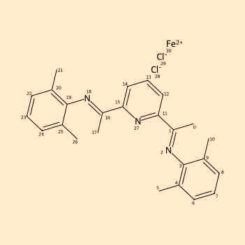 C/C(=N\c1c(C)cccc1C)c1cccc(/C(C)=N/c2c(C)cccc2C)n1.[Cl-].[Cl-].[Fe+2]